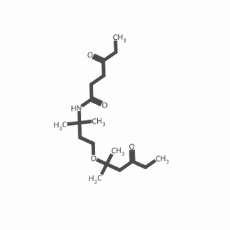 CCC(=O)CCC(=O)NC(C)(C)CCOC(C)(C)CC(=O)CC